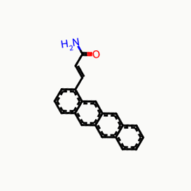 NC(=O)C=Cc1cccc2cc3cc4ccccc4cc3cc12